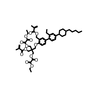 C=C(C)C(=O)OCc1cc(-c2ccc(C3CCC(CCCCC)CC3)cc2CC)ccc1OCC(COC(=O)C(=C)C)(COC(=O)C(=O)OCC)COC(=O)C(=O)OCC